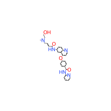 CN(CC=CC(=O)Nc1ccc2nccc(Oc3ccc(C(=O)Nc4ccccn4)cc3)c2c1)CCO